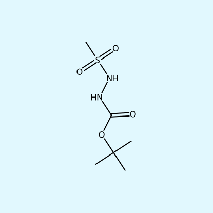 CC(C)(C)OC(=O)NNS(C)(=O)=O